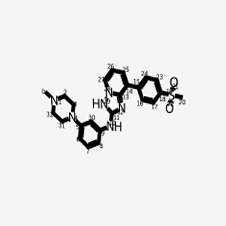 CN1CCN(c2cccc(NC3N=C4C(c5ccc(S(C)(=O)=O)cc5)=CC=CN4N3)c2)CC1